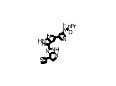 CCCC(=O)Nc1cncc(-c2cnc3[nH]nc(-c4nc5c(-c6ccsc6)ccnc5[nH]4)c3c2)c1